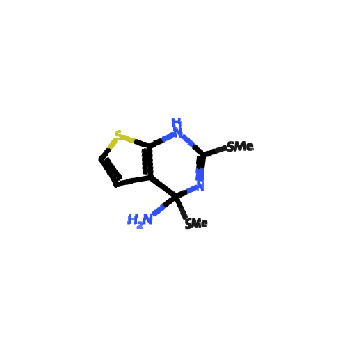 CSC1=NC(N)(SC)c2ccsc2N1